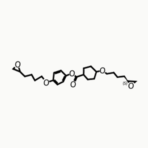 O=C(Oc1ccc(OCCCCC2CO2)cc1)C1CCC(OCCCC[C@H]2CO2)CC1